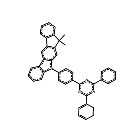 CC1(C)c2ccccc2-c2cc3c4ccccc4n(-c4ccc(-c5nc(C6=CC=CCC6)nc(-c6ccccc6)n5)cc4)c3cc21